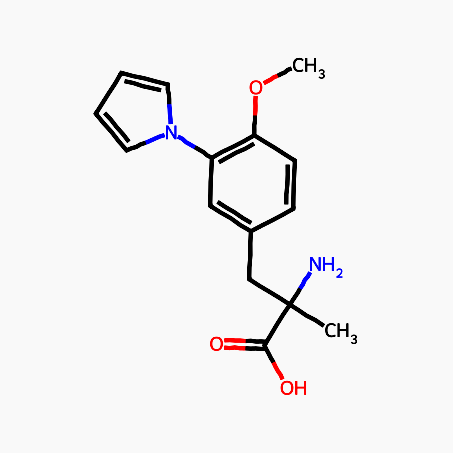 COc1ccc(CC(C)(N)C(=O)O)cc1-n1cccc1